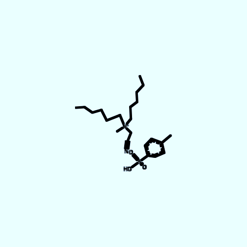 CCCCCC[N+](C)(CC#N)CCCCCC.Cc1ccc(S(=O)(=O)O)cc1